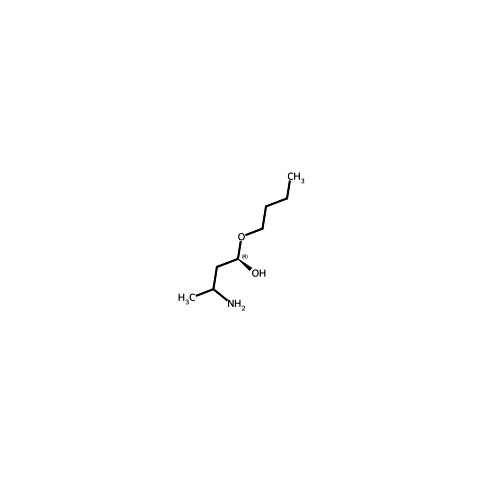 CCCCO[C@@H](O)CC(C)N